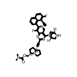 C#Cc1c(F)ccc2cccc(-c3ncc4c(N5C[C@H]6C[C@@H]5CN6)nc(C#C[C@]56CCCN5[C@@H](COC(=O)N(C)C)CC6)nc4c3F)c12